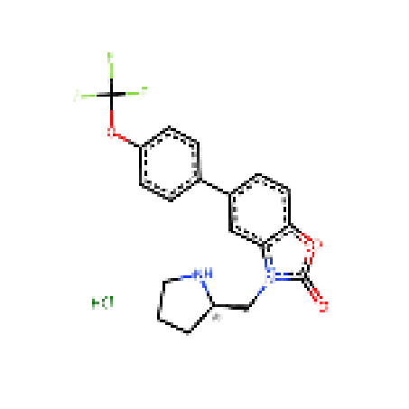 Cl.O=c1oc2ccc(-c3ccc(OC(F)(F)F)cc3)cc2n1C[C@H]1CCCN1